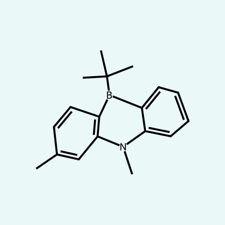 Cc1ccc2c(c1)N(C)c1ccccc1B2C(C)(C)C